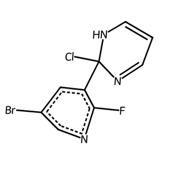 Fc1ncc(Br)cc1C1(Cl)N=CC=CN1